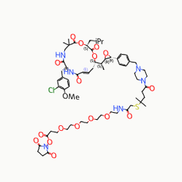 COc1ccc(C[C@H]2NC(=O)/C=C/C[C@@H]([C@H](C)[C@H]3O[C@@H]3c3ccc(CN4CCN(C(=O)CCC(C)(C)SCC(=O)NCCOCCOCCOCCOCCC(=O)ON5C(=O)CCC5=O)CC4)cc3)OC(=O)[C@H](CC(C)C)OC(=O)C(C)(C)CNC2=O)cc1Cl